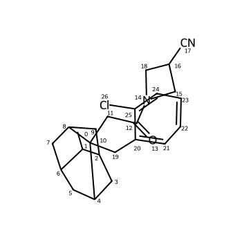 CC1C2CC3CC1CC(C2)C3(CC(=O)N1CC(C#N)C1)Cc1ccccc1Cl